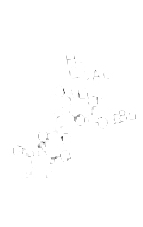 CC(=O)[C@H](C)OC(=O)[C@H](CC(=O)ON1C(=O)CCC1=O)OC(=O)OC(C)(C)C